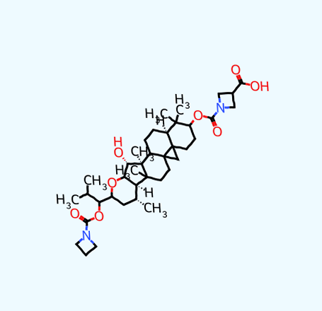 CC(C)C(OC(=O)N1CCC1)C1C[C@@H](C)[C@H]2C(O1)[C@H](O)[C@@]1(C)C3CC[C@H]4C(C)(C)C(OC(=O)N5CC(C(=O)O)C5)CCC45CC35CCC21C